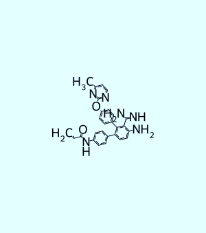 C=CC(=O)Nc1ccc(-c2ccc(N)c(C(=N)N)c2-c2ccc(Oc3nccc(C)n3)cc2)cc1